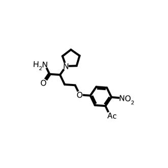 CC(=O)c1cc(OCCC(C(N)=O)N2CCCC2)ccc1[N+](=O)[O-]